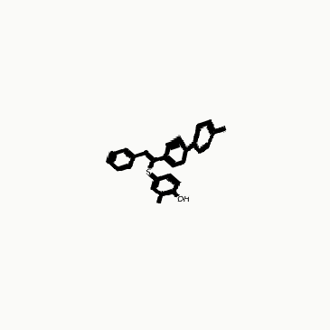 Cc1ccc(-c2ccc(C(Cc3ccccc3)Sc3ccc(O)c(C)c3)cc2)cc1